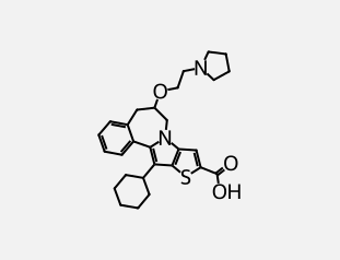 O=C(O)c1cc2c(s1)c(C1CCCCC1)c1n2CC(OCCN2CCCC2)Cc2ccccc2-1